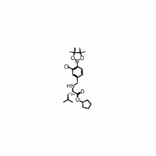 CC(C)C[C@H](NCc1ccc(B2OC(C)(C)C(C)(C)O2)c(Cl)c1)C(=O)OC1CCCC1